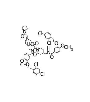 COc1ccc(C(=O)NCC2CCN(C(C(=O)O)N(CC3CCN(CC(=O)N4CCCC4)CC3)C(=O)c3ccc(OC)c(OCCc4ccc(Cl)cc4Cl)c3)CC2)cc1OCCc1ccc(Cl)cc1Cl